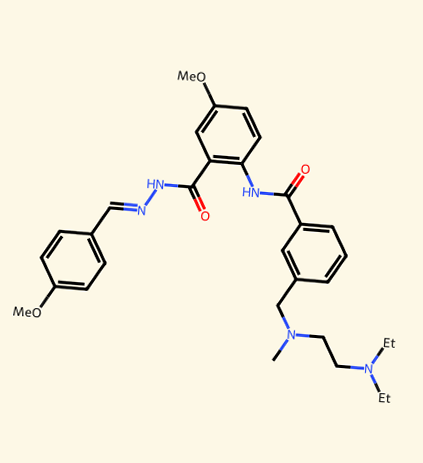 CCN(CC)CCN(C)Cc1cccc(C(=O)Nc2ccc(OC)cc2C(=O)NN=Cc2ccc(OC)cc2)c1